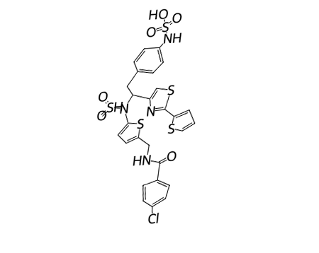 O=C(NCc1ccc(N(C(Cc2ccc(NS(=O)(=O)O)cc2)c2csc(-c3cccs3)n2)[SH](=O)=O)s1)c1ccc(Cl)cc1